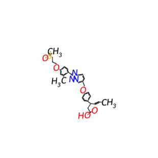 CC#CC(CC(=O)O)c1ccc(OCc2ccc3nc(-c4ccc(OCCC[S+](C)[O-])cc4C)nn3c2)cc1